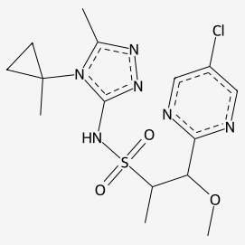 COC(c1ncc(Cl)cn1)C(C)S(=O)(=O)Nc1nnc(C)n1C1(C)CC1